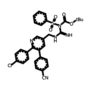 CC(C)(C)OC(=O)N(C(=N)NCc1cnc(-c2ccc(Cl)cc2)c(-c2ccc(C#N)cc2)c1)S(=O)(=O)c1ccccc1